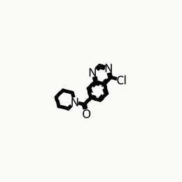 O=C(c1ccc2c(Cl)ncnc2c1)N1CCCCC1